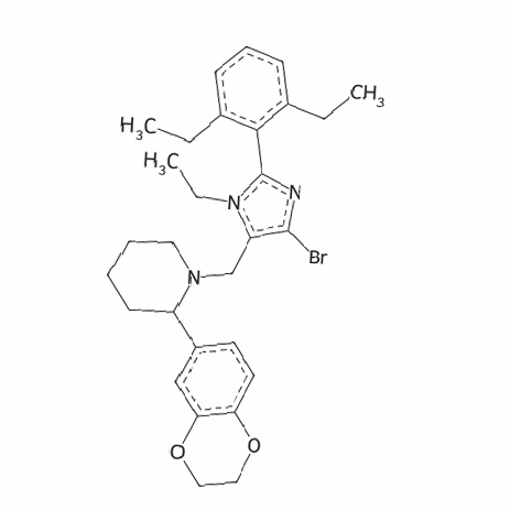 CCc1cccc(CC)c1-c1nc(Br)c(CN2CCCCC2c2ccc3c(c2)OCCO3)n1CC